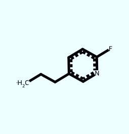 [CH2]CCc1ccc(F)nc1